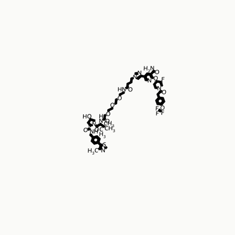 Cc1ncsc1-c1ccc(CNC(=O)[C@@H]2C[C@@H](O)CN2C(=O)[C@@H](NC(=O)COCCOCCOCCNC(=O)CCCn2cnc(-c3cnc(O[C@@H]4CCN(C(=O)Cc5ccc(OC(F)(F)F)cc5)C[C@H]4F)c(C(N)=O)c3)c2)C(C)(C)C)cc1